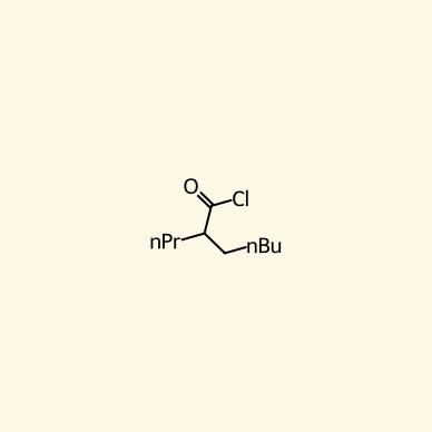 CCCCCC(CCC)C(=O)Cl